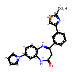 O=C1CC(c2cccc(-c3csc(C(=O)O)n3)c2)=Nc2ccc(-n3cccc3)cc2N1